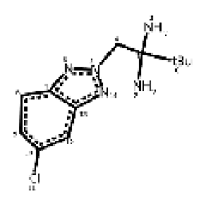 CC(C)(C)C(N)(N)Cn1nc2ccc(Cl)cc2n1